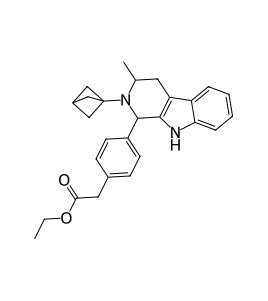 CCOC(=O)Cc1ccc(C2c3[nH]c4ccccc4c3CC(C)N2C23CC(C2)C3)cc1